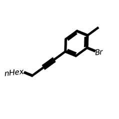 CCCCCCCC#Cc1ccc(C)c(Br)c1